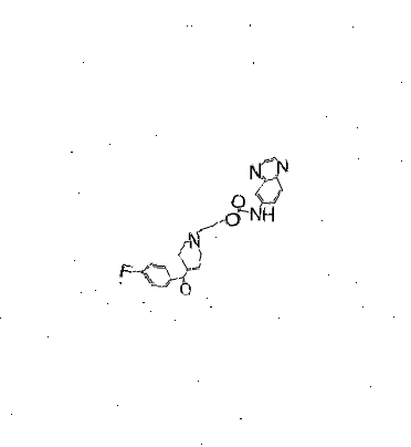 O=C(Nc1ccc2nccnc2c1)OCCCN1CCC(C(=O)c2ccc(F)cc2)CC1